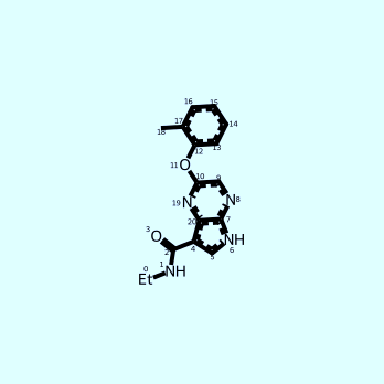 CCNC(=O)c1c[nH]c2ncc(Oc3ccccc3C)nc12